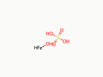 O=S(=O)(O)O.[OH][FeH]